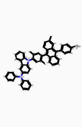 Cc1ccc2c(-c3cc(C)c(-n4c5ccccc5c5cc(N(c6ccccc6)c6ccccc6)ccc54)cc3C)c3ccccc3c(-c3ccc(C(C)(C)C)cc3)c2c1